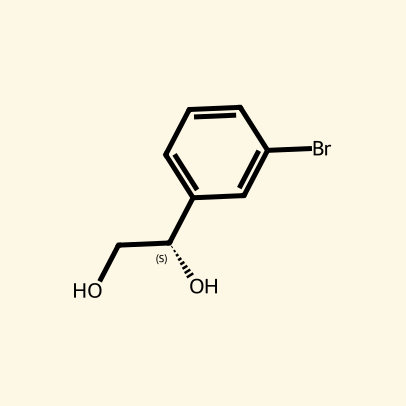 OC[C@@H](O)c1cccc(Br)c1